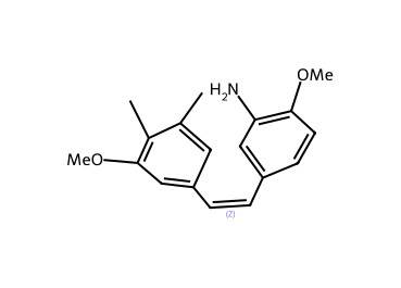 COc1ccc(/C=C\c2cc(C)c(C)c(OC)c2)cc1N